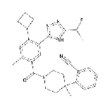 Cc1cc(C2CCC2)c(-c2nnc(C(F)F)[nH]2)cc1C(=O)N1CCC(F)(c2ccccc2C#N)CC1